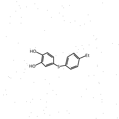 CCc1ccc(Sc2ccc(O)c(O)c2)cc1